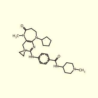 CN1CCC(NC(=O)c2ccc(NC3=NC4=C(C[N+]35CC5)N(C)C(=O)CCN4C3CCCC3)cc2)CC1